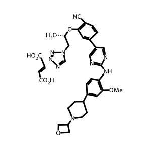 COc1cc(C2CCN(C3COC3)CC2)ccc1Nc1ncc(-c2ccc(C#N)c(O[C@@H](C)Cn3cnnn3)c2)cn1.O=C(O)/C=C/C(=O)O